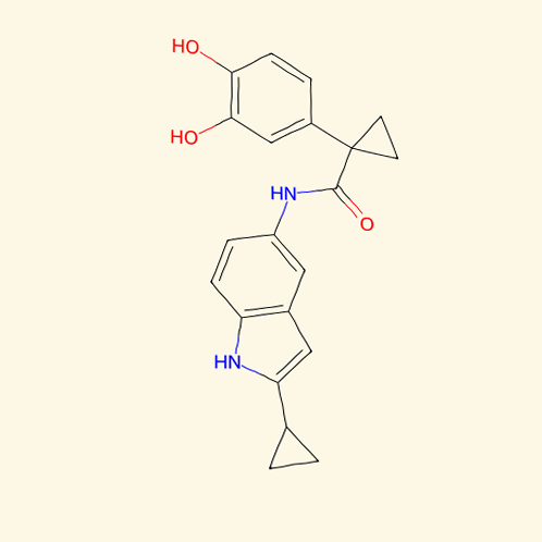 O=C(Nc1ccc2[nH]c(C3CC3)cc2c1)C1(c2ccc(O)c(O)c2)CC1